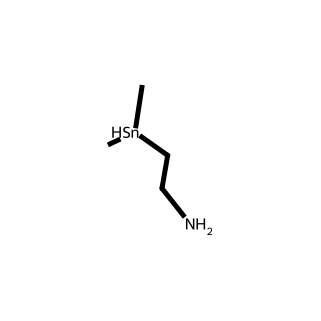 [CH3][SnH]([CH3])[CH2]CN